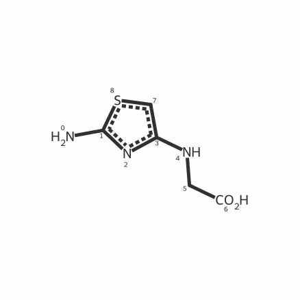 Nc1nc(NCC(=O)O)cs1